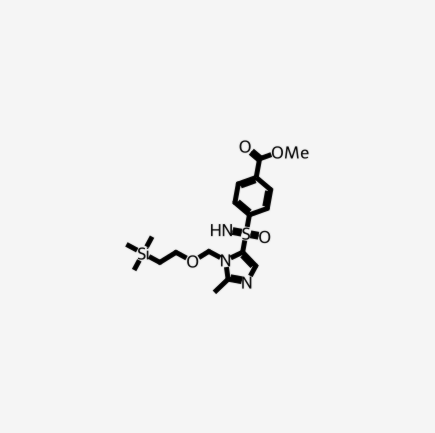 COC(=O)c1ccc(S(=N)(=O)c2cnc(C)n2COCC[Si](C)(C)C)cc1